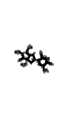 COC(=O)[C@]1(C)C[C@@H](n2cc(C)c(=O)[nH]c2=O)SC1CO